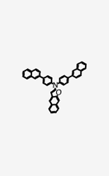 c1ccc2cc(-c3ccc(N(c4ccc(-c5ccc6ccccc6c5)cc4)c4cc5cc6ccccc6cc5o4)cc3)ccc2c1